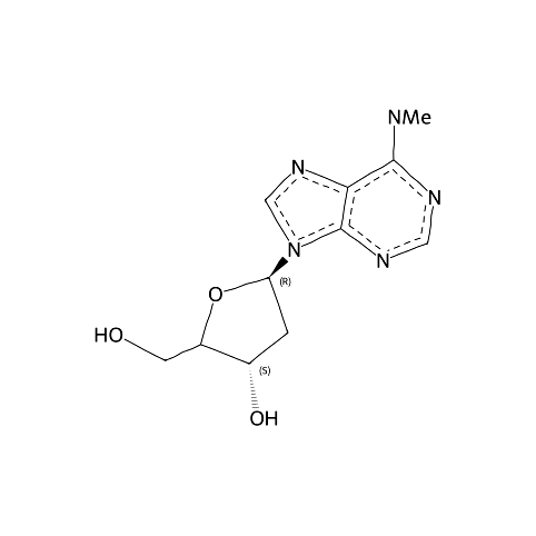 CNc1ncnc2c1ncn2[C@H]1C[C@H](O)C(CO)O1